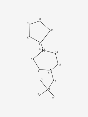 CC(C)(C)CN1CCN(C2CCCC2)CC1